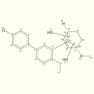 CCc1ccc(-c2ccc(Cl)cc2)cc1C1=C(O)[C@H]2C=C[C@](OC)(CC2)C1O